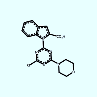 O=C(O)c1cc2ccccc2n1-c1nc(Cl)nc(N2CCOCC2)n1